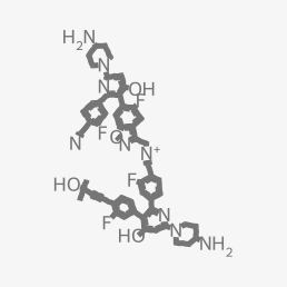 CC(C)(O)C#Cc1ccc(-c2c(O)cc(N3CCC(N)CC3)nc2-c2ccc(C#[N+]Cc3noc4cc(-c5c(O)cc(N6CCC(N)CC6)nc5-c5ccc(C#N)c(F)c5)c(F)cc34)c(F)c2)cc1F